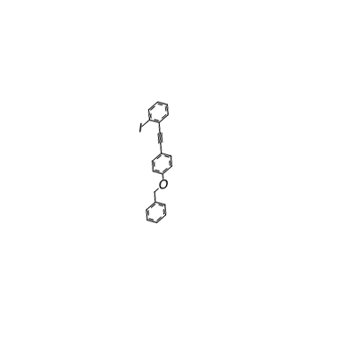 Ic1ccccc1C#Cc1ccc(OCc2ccccc2)cc1